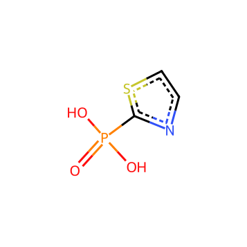 O=P(O)(O)c1nccs1